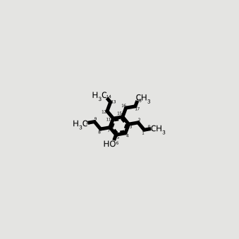 CCCc1cc(O)c(CCC)c(CCC)c1CCC